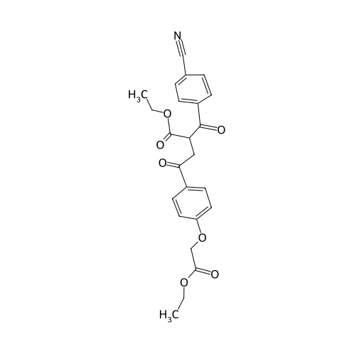 CCOC(=O)COc1ccc(C(=O)CC(C(=O)OCC)C(=O)c2ccc(C#N)cc2)cc1